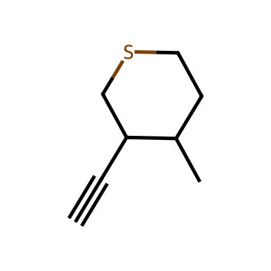 C#CC1CSCCC1C